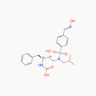 CC(C)CN(C[C@@H](O)[C@H](Cc1ccccc1)NC(=O)O)S(=O)(=O)c1ccc(C=NO)cc1